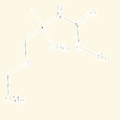 COCOCC(C)(C=O)NC(=O)OC(C)(C)C